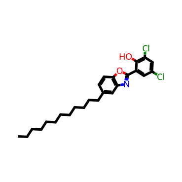 CCCCCCCCCCCCc1ccc2oc(-c3cc(Cl)cc(Cl)c3O)nc2c1